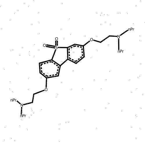 CCCN(CCC)CCOc1ccc2c(c1)-c1ccc(OCCN(CCC)CCC)cc1S2(=O)=O